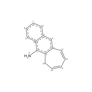 Nc1c2c(cc3ccccc13)C=CC=CC2